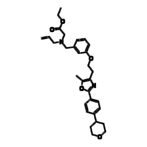 C=CCN(CC(=O)OCC)Cc1cccc(OCCc2nc(-c3ccc(C4CCOCC4)cc3)oc2C)c1